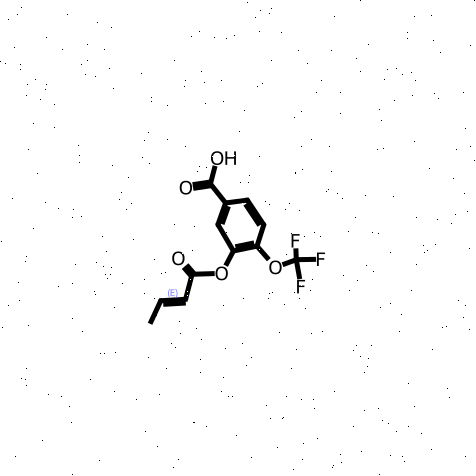 C/C=C/C(=O)Oc1cc(C(=O)O)ccc1OC(F)(F)F